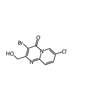 O=c1c(Br)c(CO)nc2ccc(Cl)cn12